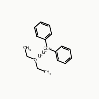 CCOCC.[Li+].[Li+].c1cc[c]([Cu-2][c]2ccccc2)cc1